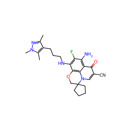 Cc1nn(C)c(C)c1CCCNc1c(F)c(N)c2c(=O)c(C#N)cn3c2c1OCC31CCCC1